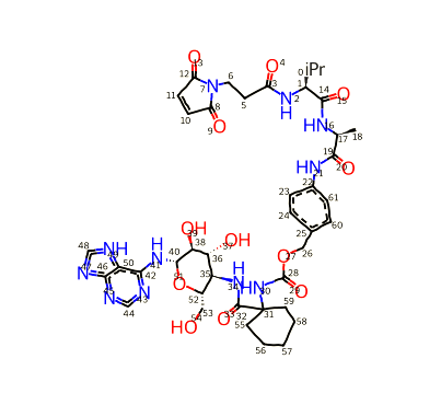 CC(C)[C@H](NC(=O)CCN1C(=O)C=CC1=O)C(=O)N[C@@H](C)C(=O)Nc1ccc(COC(=O)NC2(C(=O)N[C@@H]3[C@@H](O)[C@H](O)[C@@H](Nc4ncnc5nc[nH]c45)O[C@H]3CO)CCCCC2)cc1